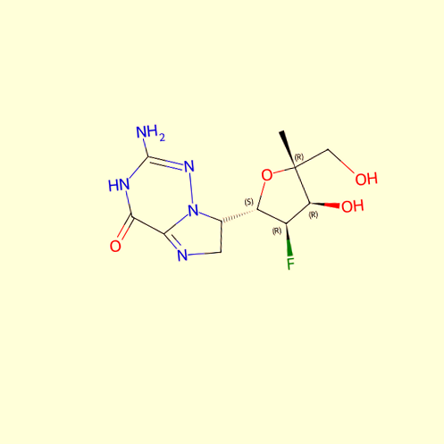 C[C@]1(CO)O[C@@H](C2CN=C3C(=O)NC(N)=NN32)[C@H](F)[C@@H]1O